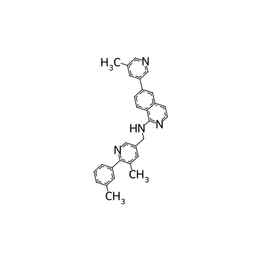 Cc1cncc(-c2ccc3c(NCc4cnc(-c5cccc(C)c5)c(C)c4)nccc3c2)c1